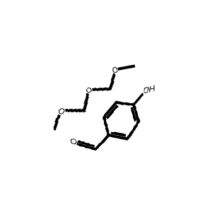 COCOCOC.O=Cc1ccc(O)cc1